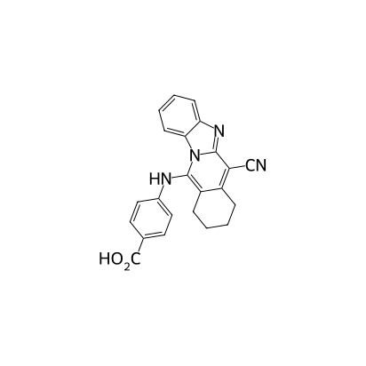 N#Cc1c2c(c(Nc3ccc(C(=O)O)cc3)n3c1nc1ccccc13)CCCC2